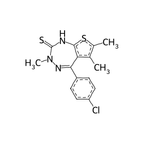 Cc1sc2c(c1C)C(c1ccc(Cl)cc1)=NN(C)C(=S)N2